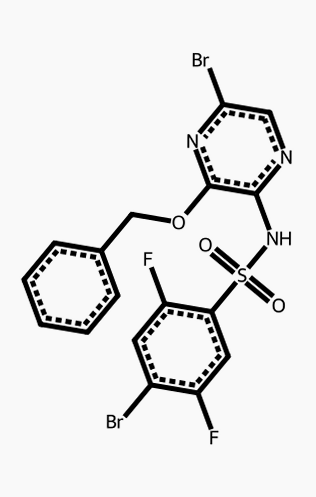 O=S(=O)(Nc1ncc(Br)nc1OCc1ccccc1)c1cc(F)c(Br)cc1F